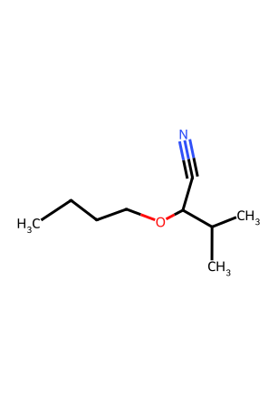 CCCCOC(C#N)C(C)C